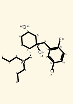 CCCN(CCC)C[C@@H]1CCCC[C@]1(O)Cc1cc(Cl)ccc1F.Cl